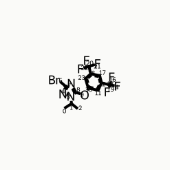 CC(C)n1nc(Br)nc1Oc1cc(C(F)(F)F)cc(C(F)(F)F)c1